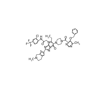 CCc1c(N2CCN(C(=O)c3ncnc(C)c3OCc3ccccc3)CC2)c(=O)n2nc(-c3cc4c(s3)CN(C)CC4)nc2n1CC(=O)Nc1ccc(C(F)(F)F)cc1Cl